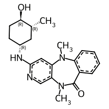 C[C@@H]1C[C@H](Nc2cc3c(cn2)N(C)C(=O)c2ccccc2N3C)CC[C@H]1O